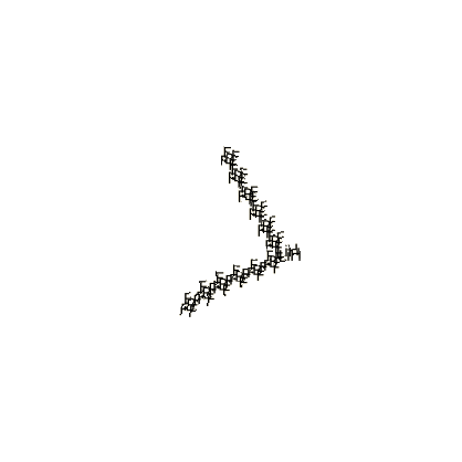 F[B-](F)(F)F.F[B-](F)(F)F.F[B-](F)(F)F.F[B-](F)(F)F.F[B-](F)(F)F.F[B-](F)(F)F.F[B-](F)(F)F.F[B-](F)(F)F.F[B-](F)(F)F.F[B-](F)(F)F.F[B-](F)(F)F.F[B-](F)(F)F.[LiH].[LiH]